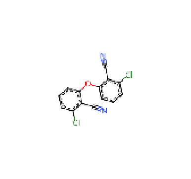 N#Cc1c(Cl)cccc1Oc1cccc(Cl)c1C#N